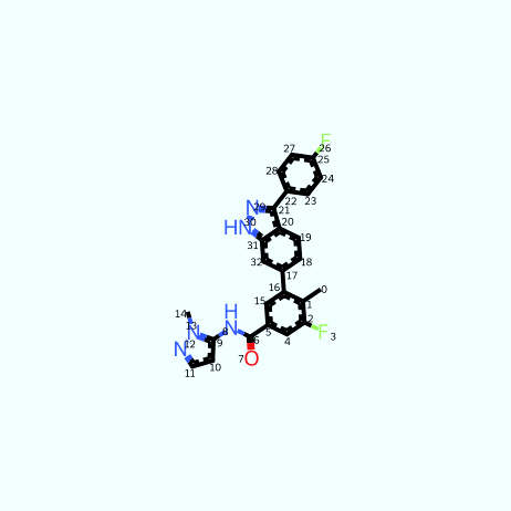 Cc1c(F)cc(C(=O)Nc2ccnn2C)cc1-c1ccc2c(-c3ccc(F)cc3)n[nH]c2c1